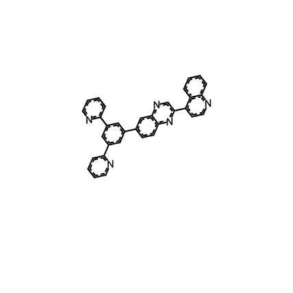 c1ccc(-c2cc(-c3ccc4nc(-c5ccnc6ccccc56)cnc4c3)cc(-c3ccccn3)c2)nc1